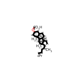 CC(C)CCC[C@@H](C)[C@H]1CC[C@H]2[C@@H]3CCC4CC(OS(=O)(=O)O)CC[C@]4(C)[C@H]3CC[C@]12C